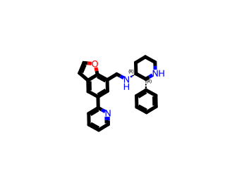 c1ccc([C@H]2NCCC[C@H]2NCc2cc(-c3ccccn3)cc3ccoc23)cc1